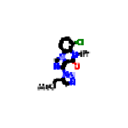 COCc1cnnn1-c1ncn2c1c(=O)n(C(C)C)c1c(Cl)cccc12